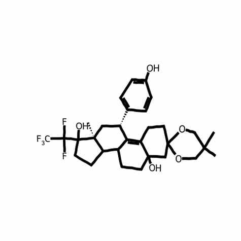 CC1(C)COC2(CCC3=C4C(CCC3(O)C2)C2CCC(O)(C(F)(F)C(F)(F)F)[C@@]2(C)C[C@@H]4c2ccc(O)cc2)OC1